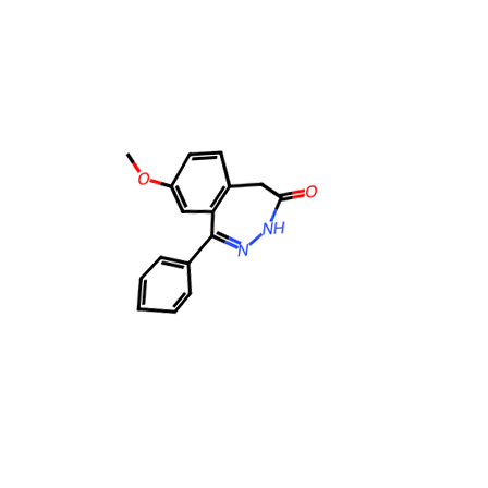 COc1ccc2c(c1)C(c1ccccc1)=NNC(=O)C2